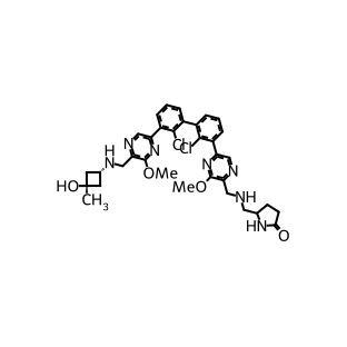 COc1nc(-c2cccc(-c3cccc(-c4cnc(CN[C@H]5C[C@@](C)(O)C5)c(OC)n4)c3Cl)c2Cl)cnc1CNCC1CCC(=O)N1